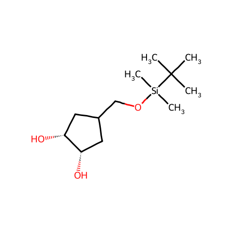 CC(C)(C)[Si](C)(C)OCC1C[C@@H](O)[C@@H](O)C1